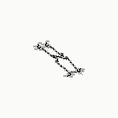 CC(=O)NC1C(OCCOCCOCCOCCn2cc(CN(CCCCC(C(=O)O)N(Cc3cn(CCOCCOCCOCCOC4OC(CO)C(O)C(O)C4NC(C)=O)nn3)Cc3cn(CCOCCOCCOCCOC4OC(CO)C(O)C(O)C4NC(C)=O)nn3)Cc3cn(CCOCCOCCOCCOC4OC(CO)C(O)C(O)C4NC(C)=O)nn3)nn2)OC(CO)C(O)C1C